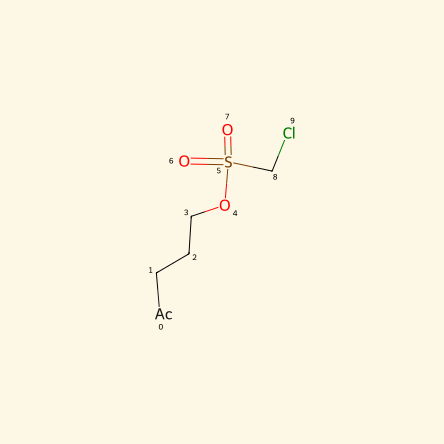 CC(=O)CCCOS(=O)(=O)CCl